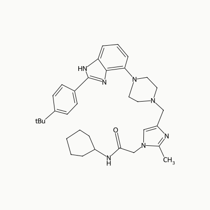 Cc1nc(CN2CCN(c3cccc4[nH]c(-c5ccc(C(C)(C)C)cc5)nc34)CC2)cn1CC(=O)NC1CCCCC1